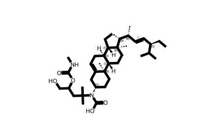 CC[C@H](/C=C/[C@@H](C)[C@H]1CC[C@H]2[C@@H]3CC=C4C[C@@H](N(C(=O)O)C(C)(C)CC(CO)OC(=O)NC)CC[C@]4(C)[C@H]3CC[C@]12C)C(C)C